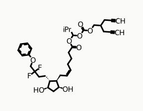 C#CCC(CC#C)COC(=O)OC(OC(=O)CCC/C=C\C[C@@H]1[C@@H](CCC(F)(F)COc2ccccc2)[C@H](O)C[C@@H]1O)C(C)C